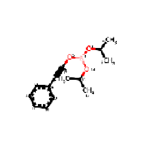 CC(C)OB(OC#Cc1ccccc1)OC(C)C